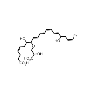 CC/C=C\CC(O)/C=C/C=C\C=C\C=C\C(OCC(O)C(=O)O)C(O)C/C=C\CCC(=O)O